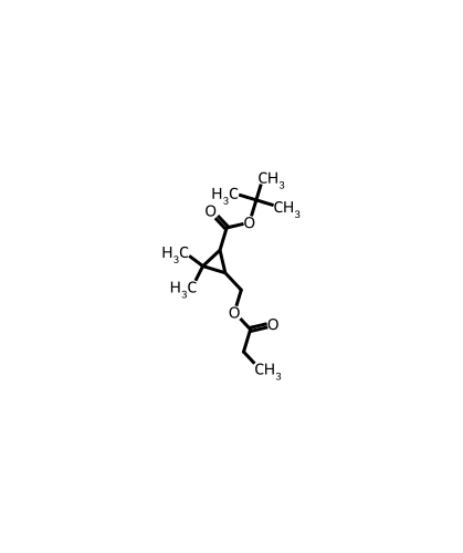 CCC(=O)OCC1C(C(=O)OC(C)(C)C)C1(C)C